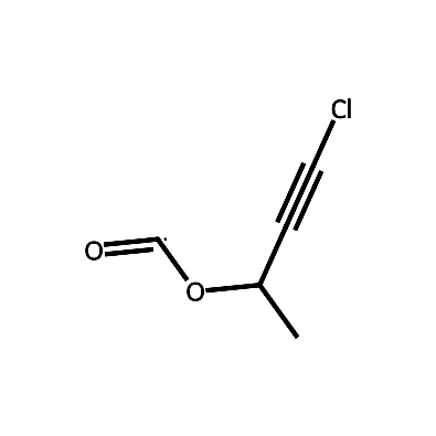 CC(C#CCl)O[C]=O